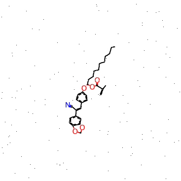 C=C(C)C(=O)OC(CCCCCCCCCC)Oc1ccc(C=C(C#N)c2ccc3c(c2)OCO3)cc1